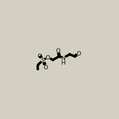 CCS(=O)(=O)OCC(=O)NC[C]=O